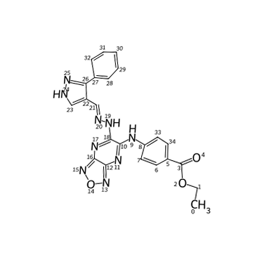 CCOC(=O)c1ccc(Nc2nc3nonc3nc2NN=Cc2c[nH]nc2-c2ccccc2)cc1